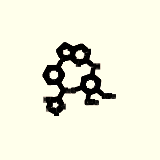 COc1cc(Nc2ncc3ccn(-c4cccc(Cc5nnn[nH]5)c4)c3n2)cc(OC)c1OC